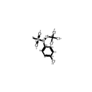 CS(=O)(=O)N(SC(Cl)(Cl)Cl)c1ccc(Cl)cc1